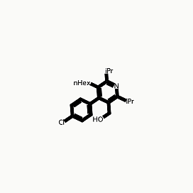 CCCCCCc1c(C(C)C)nc(C(C)C)c(CO)c1-c1ccc(Cl)cc1